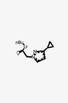 CCCCOC(=O)Cn1ccc(C2CC2)n1